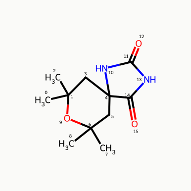 CC1(C)CC2(CC(C)(C)O1)NC(=O)NC2=O